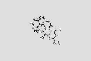 Cc1cc(C(=O)N(C)c2cnccc2-c2ccccc2C)cc(C(F)(F)F)c1